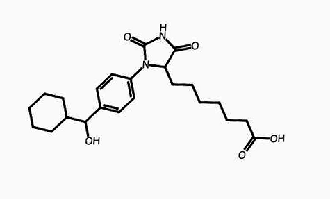 O=C(O)CCCCCCC1C(=O)NC(=O)N1c1ccc(C(O)C2CCCCC2)cc1